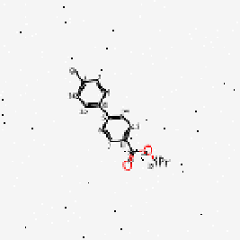 Cc1ccc(-c2ccc(C(=O)OC(C)C)cc2)cc1